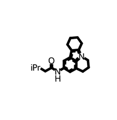 CC(C)CC(=O)Nc1cc2c3c(c1)c1c(n3CCC2)CCCC1